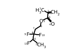 C=C(C)C(=O)OCCC(F)(F)C(C)F